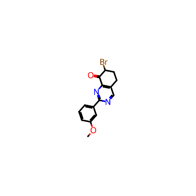 COc1cccc(-c2ncc3c(n2)C(=O)C(Br)CC3)c1